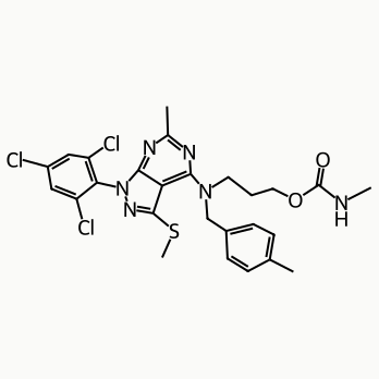 CNC(=O)OCCCN(Cc1ccc(C)cc1)c1nc(C)nc2c1c(SC)nn2-c1c(Cl)cc(Cl)cc1Cl